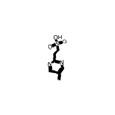 Cc1cnc(CCS(=O)(=O)O)nc1